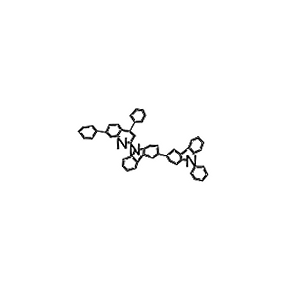 c1ccc(-c2ccc3c(-c4ccccc4)cc(-n4c5ccccc5c5cc(-c6ccc7c(c6)c6ccccc6n7-c6ccccc6)ccc54)nc3c2)cc1